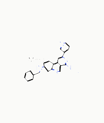 COc1cc2c(cc1NCc1ccccc1)ncc1c(N)nc(-c3cccnc3)cc12